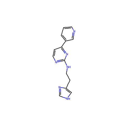 c1cncc(-c2ccnc(NCCc3c[nH]cn3)n2)c1